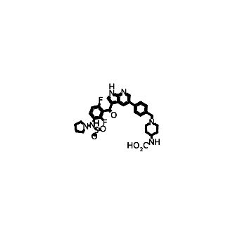 O=C(O)NC1CCN(Cc2ccc(-c3cnc4[nH]cc(C(=O)c5c(F)ccc(N(N6CCCC6)[SH](=O)=O)c5F)c4c3)cc2)CC1